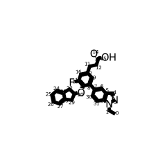 CCn1ncc2cc(-c3cc(CCC(=O)O)cc(F)c3OC3Cc4ccccc4C3)ccc21